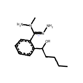 CCCCC(O)c1ccccc1/C(=N/N)N(C)N